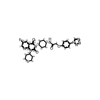 O=C(COc1ccc(-n2cnnn2)cc1)N[C@H]1CC[C@@H](n2c(=O)c3cc(F)cnc3n(C3CCSCC3)c2=O)CC1